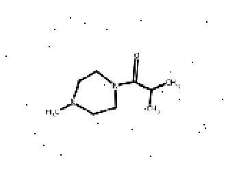 CC(C)C(=O)N1CCN(C)CC1